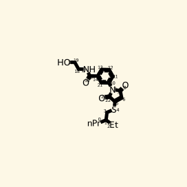 CCCC(CC)CSC1=CC(=O)N(c2cccc(C(=O)NCCO)c2)C1=O